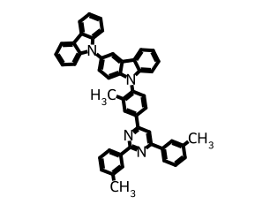 Cc1cccc(-c2cc(-c3ccc(-n4c5ccccc5c5cc(-n6c7ccccc7c7ccccc76)ccc54)c(C)c3)nc(-c3cccc(C)c3)n2)c1